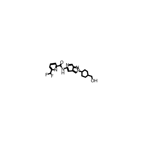 O=C(Nc1cc2cn(C3CCC(CO)CC3)nc2cn1)c1cccc(C(F)F)n1